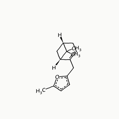 Cc1ccc(CC2=CC[C@H]3C[C@@H]2C3(C)C)o1